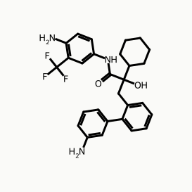 Nc1cccc(-c2ccccc2CC(O)(C(=O)Nc2ccc(N)c(C(F)(F)F)c2)C2CCCCC2)c1